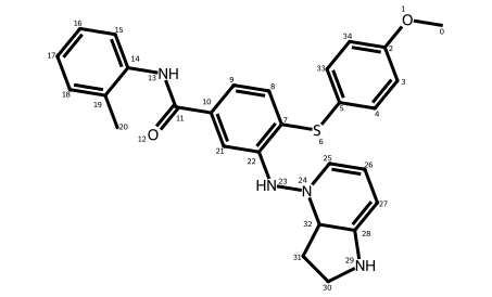 COc1ccc(Sc2ccc(C(=O)Nc3ccccc3C)cc2NN2C=CC=C3NCCC32)cc1